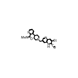 CCC1=Cc2ncc(CN3CCC(c4cccnc4C(=O)NC)CC3)cc2NC1=C=O